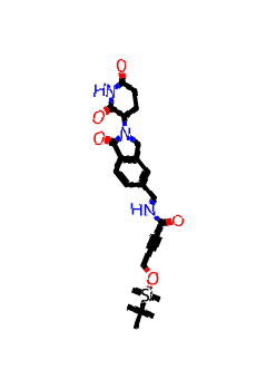 CC(C)(C)[Si](C)(C)OCC#CC(=O)NCc1ccc2c(c1)CN(C1CCC(=O)NC1=O)C2=O